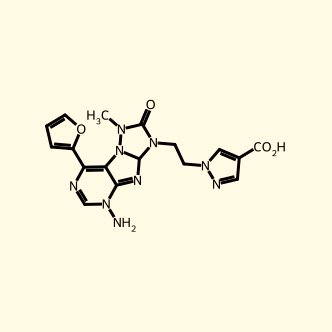 CN1C(=O)N(CCn2cc(C(=O)O)cn2)C2N=C3C(=C(c4ccco4)N=CN3N)N21